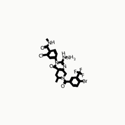 CNC(=O)c1ccc(-n2c(NN)nc3c(c2=O)CC(C)N(C(=O)c2ccc(Br)c(C(F)(F)F)c2)C3)cc1Cl